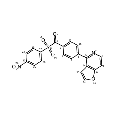 O=C(c1ccc(-c2nccc3occc23)cc1)S(=O)(=O)c1ccc([N+](=O)[O-])cc1